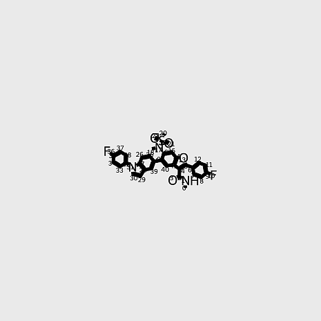 CNC(=O)c1c(-c2ccc(F)cc2)oc2cc(N(C)S(C)(=O)=O)c(-c3ccc4c(ccn4-c4ccc(F)cc4)c3)cc12